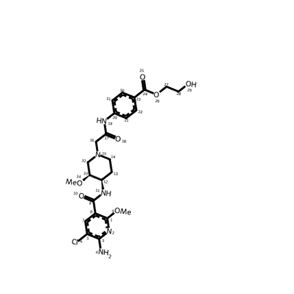 COc1nc(N)c(Cl)cc1C(=O)N[C@@H]1CCN(CC(=O)Nc2ccc(C(=O)OCCO)cc2)C[C@@H]1OC